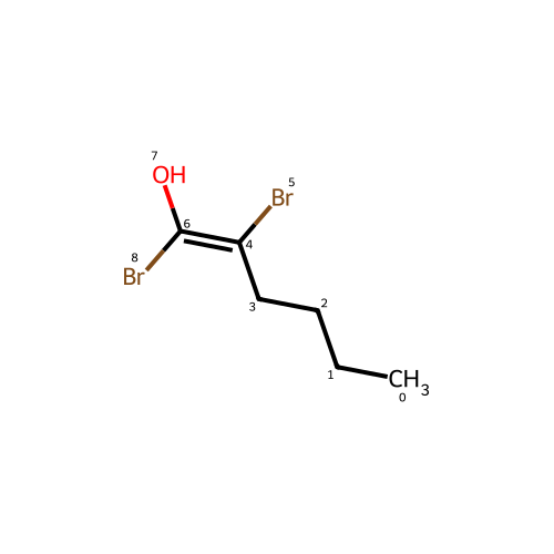 CCCC/C(Br)=C(/O)Br